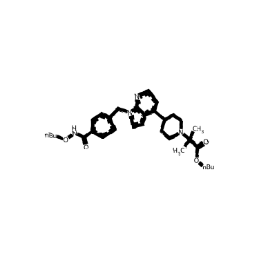 CCCCONC(=O)c1ccc(Cn2ccc3c(C4CCN(C(C)(C)C(=O)OCCCC)CC4)ccnc32)cc1